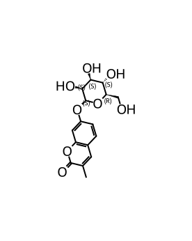 Cc1cc2ccc(O[C@@H]3O[C@H](CO)[C@@H](O)[C@H](O)[C@@H]3O)cc2oc1=O